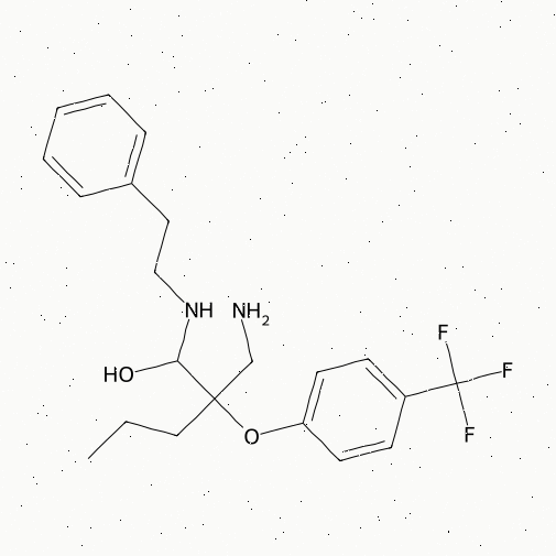 CCCC(CN)(Oc1ccc(C(F)(F)F)cc1)C(O)NCCc1ccccc1